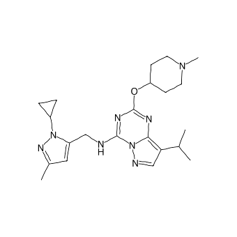 Cc1cc(CNc2nc(OC3CCN(C)CC3)nc3c(C(C)C)cnn23)n(C2CC2)n1